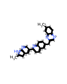 Cc1ccc2ncc(Cc3ccc4nc(-c5cnc6[nH]c(C)cc6c5)ccc4c3)nc2c1